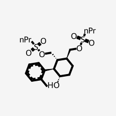 CCCS(=O)(=O)OC[C@H]1CC[C@H](O)[C@@H](c2ccccc2C)[C@@H]1COS(=O)(=O)CCC